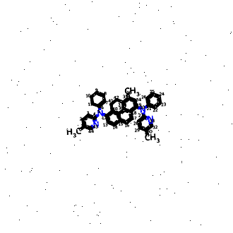 Cc1ccc(N(C2=CC=CCC2)c2ccc3ccc4c(N(c5ccccc5)c5ccc(C)cn5)cc(C)c5c4c3c2CC5)nc1